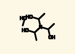 CC(O)N(C(C)O)C(C)O.CO